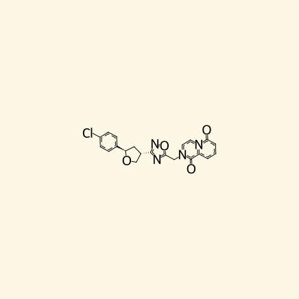 O=c1c2cccc(=O)n2ccn1Cc1nc([C@@H]2CO[C@@H](c3ccc(Cl)cc3)C2)no1